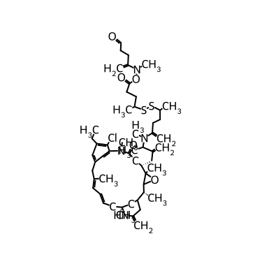 C=C1CC2C[C@](C)(C/C=C/C=C(\C)Cc3cc(CC)c(Cl)c(c3)N(C)C(=O)C[C@H](CC(=C)C(C)N(C)C(=C)CCC(C)SSC(C)CCC(=O)ON(C)C(=C)CCC=O)C3(C)OC3[C@@H]2C)N1